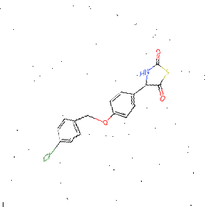 O=C1NC(c2ccc(OCc3ccc(Cl)cc3)cc2)C(=O)S1